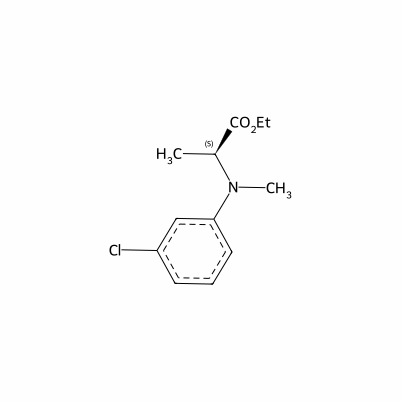 CCOC(=O)[C@H](C)N(C)c1cccc(Cl)c1